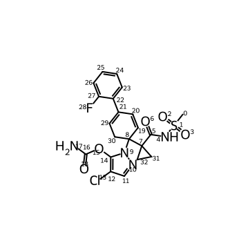 CS(=O)(=O)NC(=O)C1(C2(n3ncc(Cl)c3OC(N)=O)C=CC(c3ccccc3F)=CC2)CC1